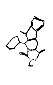 Cn1c2c(c3ccccc31)C[C@H](C(N)=O)N(C(=O)OC(C)(C)C)C2C1CCCCC1